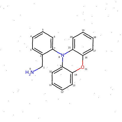 NCc1ccccc1N1c2ccccc2Oc2ccccc21